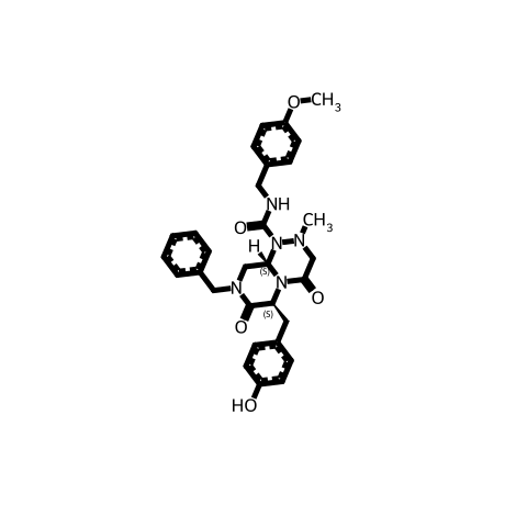 COc1ccc(CNC(=O)N2[C@H]3CN(Cc4ccccc4)C(=O)[C@H](Cc4ccc(O)cc4)N3C(=O)CN2C)cc1